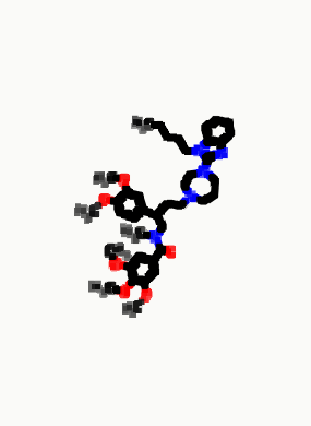 CCCCCn1c(N2CCCN(CCC(CN(C)C(=O)c3cc(OC)c(OC)c(OC)c3)c3ccc(OC)c(OC)c3)CC2)nc2ccccc21